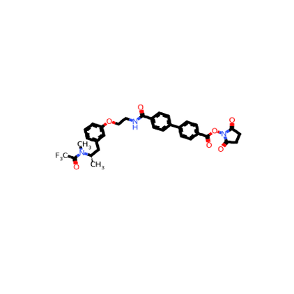 C[C@@H](Cc1cccc(OCCNC(=O)c2ccc(-c3ccc(C(=O)ON4C(=O)CCC4=O)cc3)cc2)c1)N(C)C(=O)C(F)(F)F